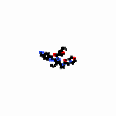 Cc1cc(C(=O)n2nc(C3CCN3C(=O)CN3CCOCC3)c(C)c2NCc2ccc(CN)cc2)co1